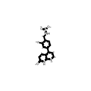 O=c1ccc2c(-c3ccc(CN[SH](=O)=O)c(F)c3)ccnc2[nH]1